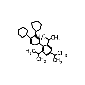 CC(C)c1cc(C(C)C)c(C2[C]=C(C3CCCCC3)C(C3CCCCC3)=CC2)c(C(C)C)c1